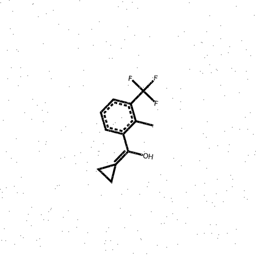 Cc1c(C(O)=C2CC2)cccc1C(F)(F)F